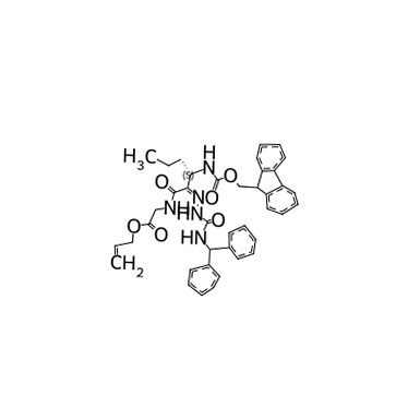 C=CCOC(=O)CNC(=O)C(=NNC(=O)NC(c1ccccc1)c1ccccc1)[C@H](CCC)NC(=O)OCC1c2ccccc2-c2ccccc21